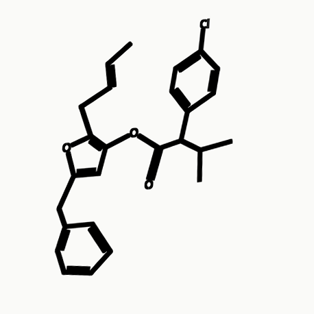 CC=CCc1oc(Cc2ccccc2)cc1OC(=O)C(c1ccc(Cl)cc1)C(C)C